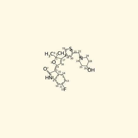 CC1(C)OC(=C2C(=O)Nc3cc(F)ccc32)C=C1c1csc(CN2CCC(O)CC2)c1